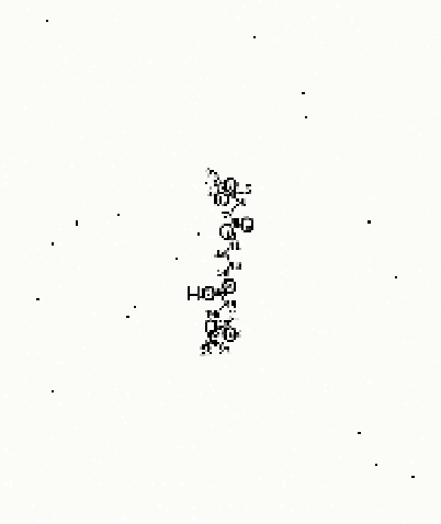 CC1COC(C)(CCC(=O)OCCCCOC(O)CCC2(C)OCC(C)O2)O1